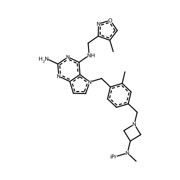 Cc1cc(CN2CC(N(C)C(C)C)C2)ccc1Cn1ccc2nc(N)nc(NCc3nocc3C)c21